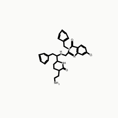 NCCC1CCC(C(Cc2ccccc2)NCc2nc3cc(Cl)ccc3c(=O)n2Cc2ccccc2)NC1=O